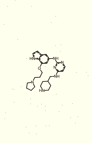 c1cc(NCC2CCNCC2)nc(Nc2cc(OCCCN3CCCC3)c3[nH]ccc3c2)n1